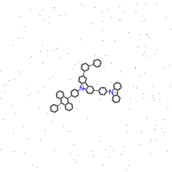 c1ccc(-c2cccc(-c3ccc4c(c3)c3cc(-c5ccc(-n6c7ccccc7c7ccccc76)cc5)ccc3n4-c3ccc(-c4c5ccccc5c(-c5ccccc5)c5ccccc45)cc3)c2)cc1